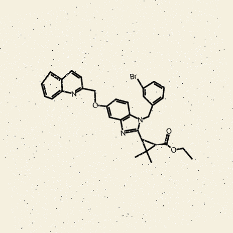 CCOC(=O)[C@@H]1C(c2nc3cc(OCc4ccc5ccccc5n4)ccc3n2Cc2cccc(Br)c2)C1(C)C